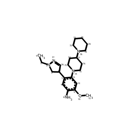 CCN1CC(c2cc(N)c(OC)cc2N2CCC(N3CCCCC3)CC2)C=N1